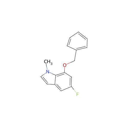 Cn1ccc2cc(F)cc(OCc3ccccc3)c21